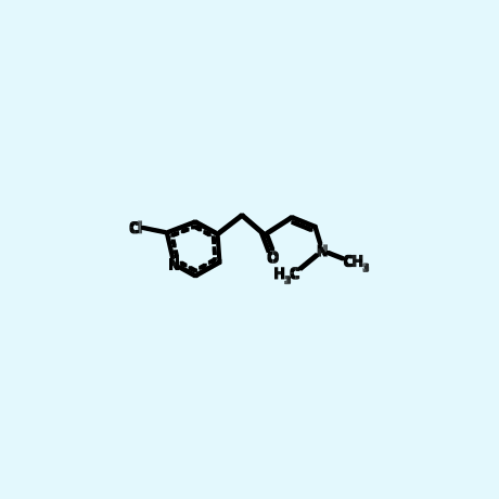 CN(C)/C=C\C(=O)Cc1ccnc(Cl)c1